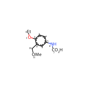 CCOc1ccc(NC(=O)O)cc1COC